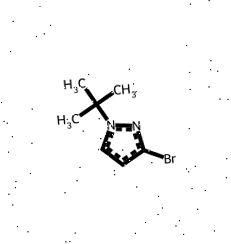 CC(C)(C)n1[c]cc(Br)n1